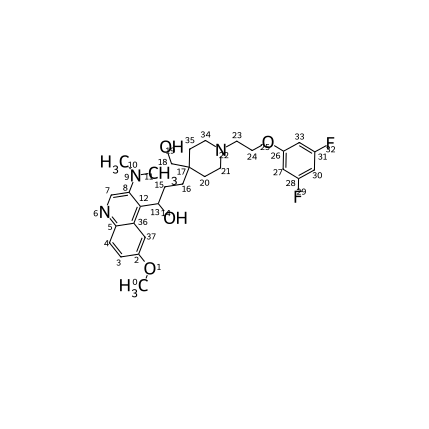 COc1ccc2ncc(N(C)C)c(C(O)CCC3(CO)CCN(CCOc4cc(F)cc(F)c4)CC3)c2c1